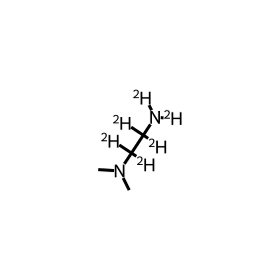 [2H]N([2H])C([2H])([2H])C([2H])([2H])N(C)C